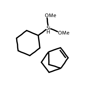 C1=CC2CCC1C2.CO[SiH](OC)C1CCCCC1